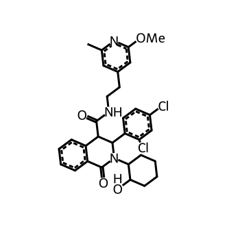 COc1cc(CCNC(=O)C2c3ccccc3C(=O)N(C3CCCCC3O)C2c2ccc(Cl)cc2Cl)cc(C)n1